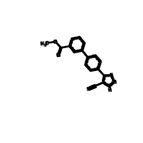 COC(=O)c1cccc(-c2ccc(-c3nn[nH]c3C#N)cc2)c1